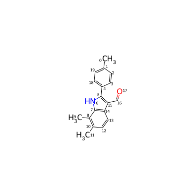 Cc1ccc(-c2[nH]c3c(C)c(C)ccc3c2C=O)cc1